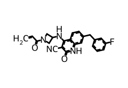 C=CC(=O)N1CC(Nc2c(C#N)c(=O)[nH]c3cc(Cc4cccc(F)c4)ccc23)C1